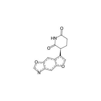 O=C1CC[C@@H](c2coc3cc4ncoc4cc23)C(=O)N1